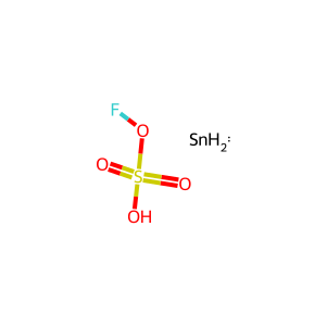 O=S(=O)(O)OF.[SnH2]